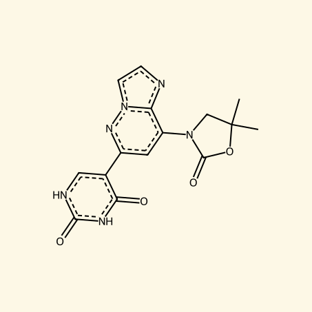 CC1(C)CN(c2cc(-c3c[nH]c(=O)[nH]c3=O)nn3ccnc23)C(=O)O1